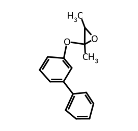 CC1OC1(C)Oc1cccc(-c2ccccc2)c1